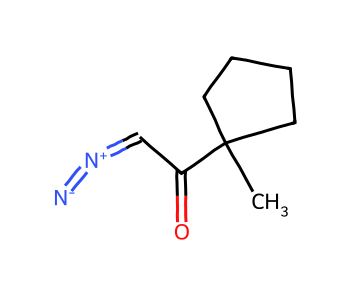 CC1(C(=O)C=[N+]=[N-])CCCC1